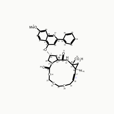 COc1ccc2c(O[C@@H]3C[C@H]4C(=O)N[C@]5(C(=O)O)C[C@H]5/C=C\CCCCCOC(=O)N4C3)cc(-c3ccccc3)nc2c1